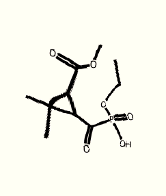 CCOP(=O)(O)C(=O)C1C(C(=O)OC)C1(C)C